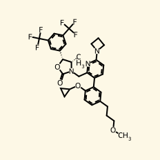 COCCCc1ccc(OC2CC2)c(-c2ccc(N3CCC3)nc2CN2C(=O)O[C@H](c3cc(C(F)(F)F)cc(C(F)(F)F)c3)[C@@H]2C)c1